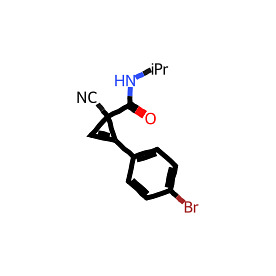 CC(C)NC(=O)C1(C#N)C=C1c1ccc(Br)cc1